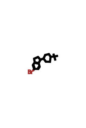 CC(C)(C)C1CC[C](C2CCc3cc(Br)ccc32)CC1